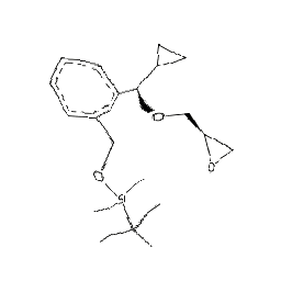 CC(C)(C)[Si](C)(C)OCc1ccccc1[C@H](OC[C@H]1CO1)C1CC1